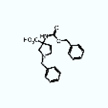 O=C(NC1(C(=O)O)CCN(Cc2ccccc2)C1)OCc1ccccc1